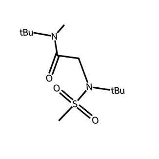 CN(C(=O)CN(C(C)(C)C)S(C)(=O)=O)C(C)(C)C